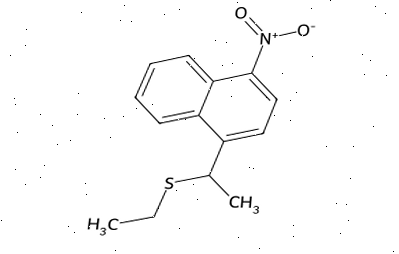 CCSC(C)c1ccc([N+](=O)[O-])c2ccccc12